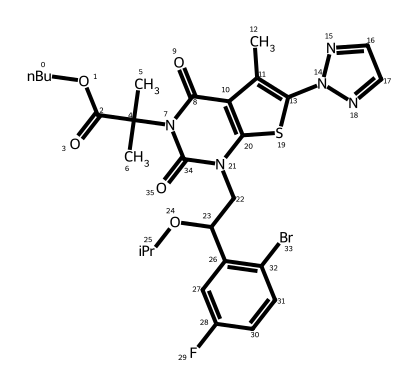 CCCCOC(=O)C(C)(C)n1c(=O)c2c(C)c(-n3nccn3)sc2n(CC(OC(C)C)c2cc(F)ccc2Br)c1=O